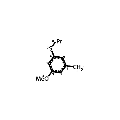 [CH2]c1cc(OC)cc(SC(C)C)c1